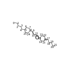 CCCCCC1CCC(C=CCOC2CCC(CCCCC)CC2)CC1